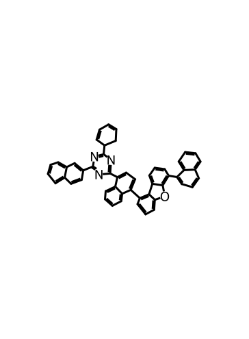 C1=CCC(c2nc(-c3ccc4ccccc4c3)nc(-c3ccc(-c4cccc5oc6c(-c7cccc8ccccc78)cccc6c45)c4ccccc34)n2)C=C1